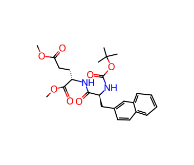 COC(=O)CC[C@H](NC(=O)[C@H](Cc1ccc2ccccc2c1)NC(=O)OC(C)(C)C)C(=O)OC